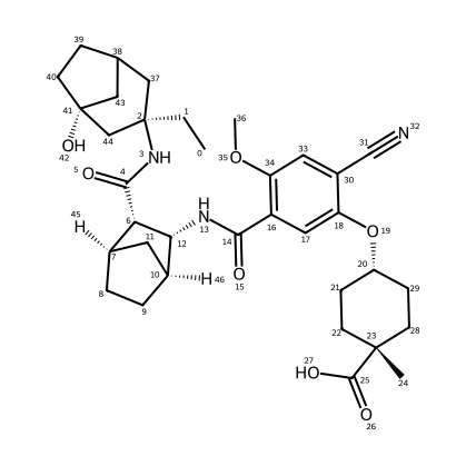 CC[C@@]1(NC(=O)[C@H]2[C@@H]3CC[C@@H](C3)[C@H]2NC(=O)c2cc(O[C@H]3CC[C@@](C)(C(=O)O)CC3)c(C#N)cc2OC)CC2CC[C@@](O)(C2)C1